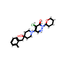 Cc1ccccc1CC1(O)CCN(c2cnn(C3CCCCO3)c(=O)c2Cl)CC1